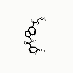 CCOC(=O)c1ccc2c(c1)CCC2NC(=O)c1ccnc(C)c1